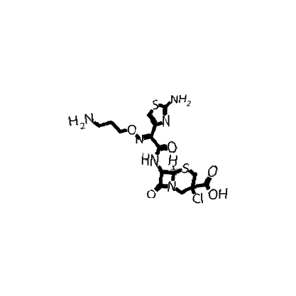 NCCCON=C(C(=O)NC1C(=O)N2CC(Cl)(C(=O)O)CS[C@H]12)c1csc(N)n1